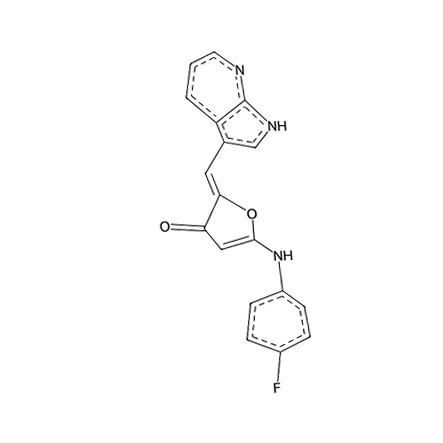 O=C1C=C(Nc2ccc(F)cc2)O/C1=C\c1c[nH]c2ncccc12